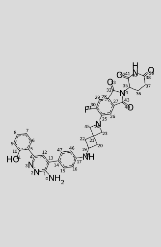 Nc1nnc(-c2ccccc2O)cc1-c1ccc(NC2CC3(C2)CN(c2cc4c(cc2F)C(=O)N(C2CCC(=O)NC2=O)C4=O)C3)cc1